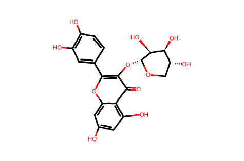 O=c1c(O[C@H]2OC[C@@H](O)[C@H](O)[C@@H]2O)c(-c2ccc(O)c(O)c2)oc2cc(O)cc(O)c12